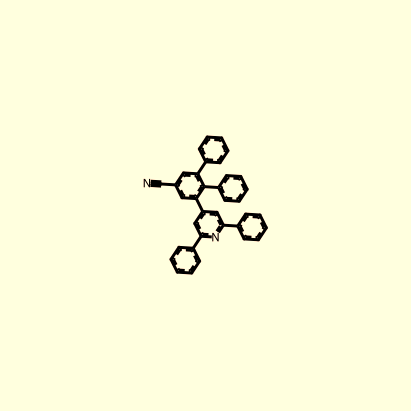 N#Cc1cc(-c2ccccc2)c(-c2ccccc2)c(-c2cc(-c3ccccc3)nc(-c3ccccc3)c2)c1